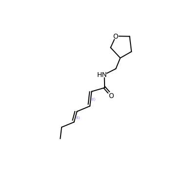 CC/C=C/C=C/C(=O)NCC1CCOC1